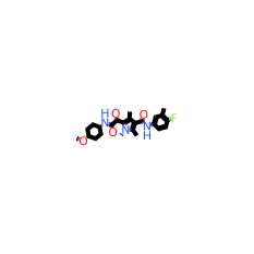 CO[C@H]1CC[C@@H](NC(=O)C(=O)c2c(C)c(C(=O)Nc3ccc(F)c(C)c3)c(C)n2C)CC1